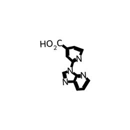 O=C(O)c1ccnc(-n2cnc3cccnc32)c1